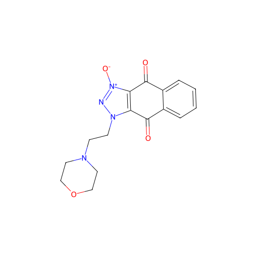 O=C1c2ccccc2C(=O)c2c1n(CCN1CCOCC1)n[n+]2[O-]